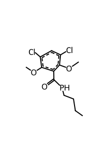 CCCCPC(=O)c1c(OC)c(Cl)cc(Cl)c1OC